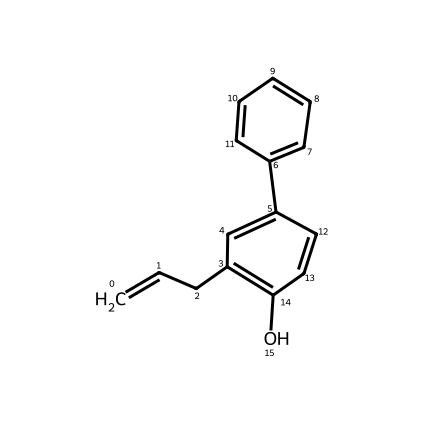 C=CCc1cc(-c2ccccc2)ccc1O